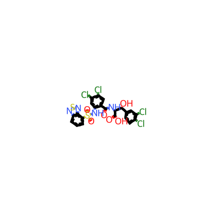 O=C(NC(C(=O)O)C(O)c1ccc(Cl)c(Cl)c1)c1cc(Cl)c(Cl)cc1NS(=O)(=O)c1cccc2nsnc12